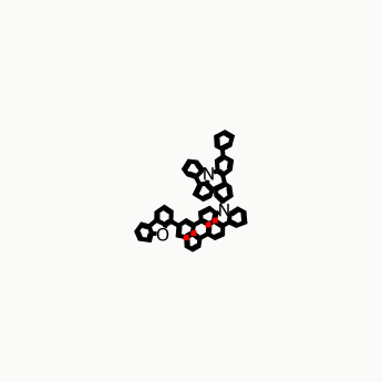 c1ccc(-c2ccc(-c3ccccc3N(c3ccc(-c4cccc(-c5cccc6c5oc5ccccc56)c4)cc3)c3ccc(-c4ccc(-c5ccccc5)cc4-n4c5ccccc5c5ccccc54)cc3)cc2)cc1